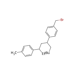 CCC(CC(CC(C)(C)C)c1ccc(CBr)cc1)c1ccc(C)cc1